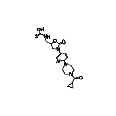 O=C(C1CC1)N1CCN(c2ccc(N3CC(CNC(O)=S)OC3=O)cn2)CC1